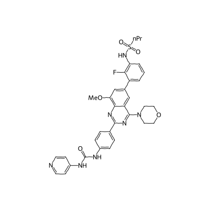 CCCS(=O)(=O)Nc1cccc(-c2cc(OC)c3nc(-c4ccc(NC(=O)Nc5ccncc5)cc4)nc(N4CCOCC4)c3c2)c1F